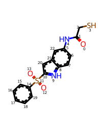 O=C(CS)Nc1ccc2[nH]c(S(=O)(=O)c3ccccc3)cc2c1